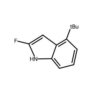 CC(C)(C)c1cccc2[nH]c(F)cc12